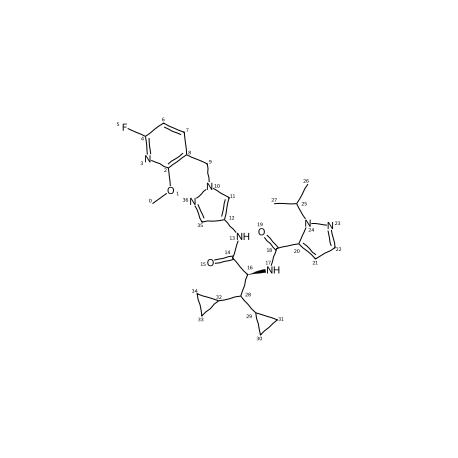 COc1nc(F)ccc1Cn1cc(NC(=O)[C@@H](NC(=O)c2ccnn2C(C)C)C(C2CC2)C2CC2)cn1